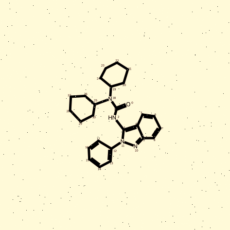 O=C(Nc1c2ccccc2nn1-c1ccccc1)N(C1CCCCC1)C1CCCCC1